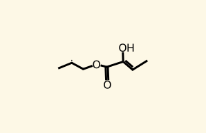 C[CH]COC(=O)C(O)=CC